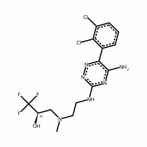 CN(CCNc1nnc(-c2cccc(Cl)c2Cl)c(N)n1)C[C@@H](O)C(F)(F)F